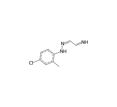 Cc1cc(Cl)ccc1N/N=C\C=N